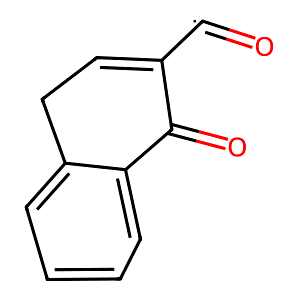 O=[C]C1=CCc2ccccc2C1=O